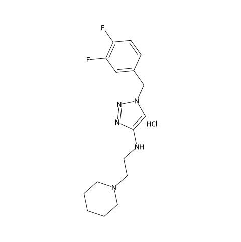 Cl.Fc1ccc(Cn2cc(NCCN3CCCCC3)nn2)cc1F